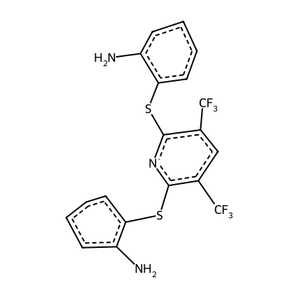 Nc1ccccc1Sc1nc(Sc2ccccc2N)c(C(F)(F)F)cc1C(F)(F)F